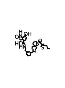 CCCc1cc(C(=O)N2CCCC3(CCN(CC4C=C(CCNC[C@H](O)c5ccc(O)c6[nH]c(=O)sc56)C=CC4)CC3)C2)cs1